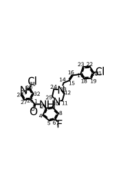 O=C(Nc1ccc(F)cc1N1CCN(C/C=C/c2ccc(Cl)cc2)CC1)c1ccnc(Cl)c1